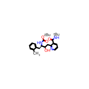 Cc1ccccc1C[C@@H](NC(=O)OC(C)(C)C)[C@H](O)Cc1ncccc1C(=O)NC(C)(C)C